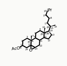 CC(=O)OC1CC[C@]2(C)C3CC[C@@]4(C)C(CC[C@@H]4[C@H](C)CCCC(C)C)C3CC3OC32C1